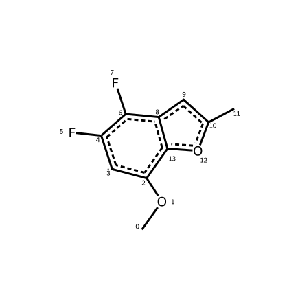 COc1[c]c(F)c(F)c2cc(C)oc12